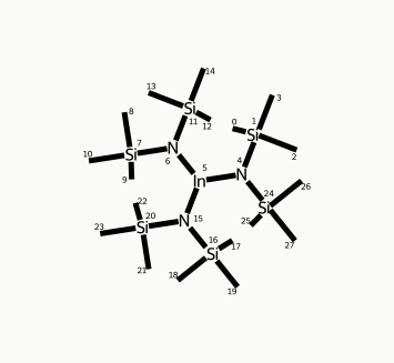 C[Si](C)(C)[N]([In]([N]([Si](C)(C)C)[Si](C)(C)C)[N]([Si](C)(C)C)[Si](C)(C)C)[Si](C)(C)C